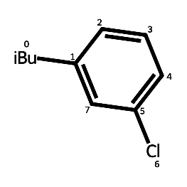 CCC(C)c1cccc(Cl)c1